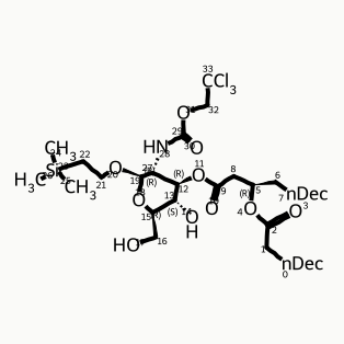 CCCCCCCCCCCC(=O)O[C@H](CCCCCCCCCCC)CC(=O)O[C@H]1[C@H](O)[C@@H](CO)O[C@@H](OCC[Si](C)(C)C)[C@@H]1NC(=O)OCC(Cl)(Cl)Cl